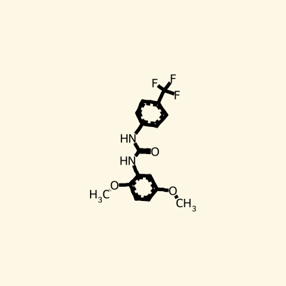 COc1ccc(OC)c(NC(=O)Nc2ccc(C(F)(F)F)cc2)c1